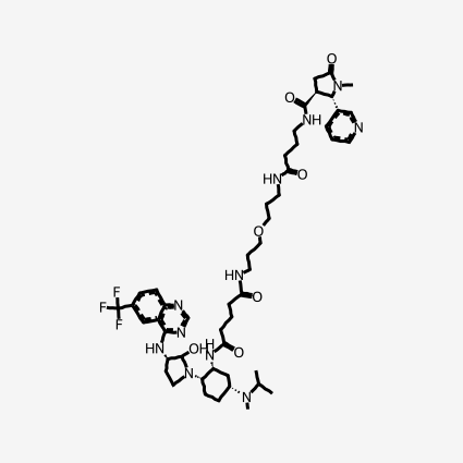 CC(C)N(C)[C@@H]1CC[C@H](N2CC[C@H](Nc3ncnc4ccc(C(F)(F)F)cc34)C2O)[C@H](NC(=O)CCCC(=O)NCCCOCCCNC(=O)CCCNC(=O)[C@H]2CC(=O)N(C)[C@@H]2c2cccnc2)C1